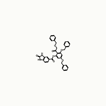 O=C(Oc1cc(OCc2ccccc2)cc(OCc2ccccc2)c1C(=O)COCc1ccccc1)c1ccc2[nH]c(=O)[nH]c2c1